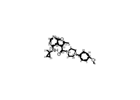 COc1ccc(N2CCN(C(=O)c3c(C)oc4ncnc(NC5(C)CC5)c34)CC2)cc1